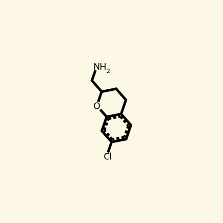 NCC1CCc2ccc(Cl)cc2O1